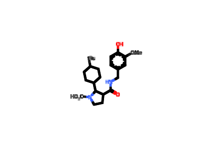 COc1cc(CNC(=O)C2CCN(C(=O)O)C2C2CCC(C(C)(C)C)CC2)ccc1O